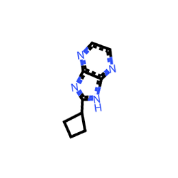 c1cnc2[nH]c(C3CCC3)nc2n1